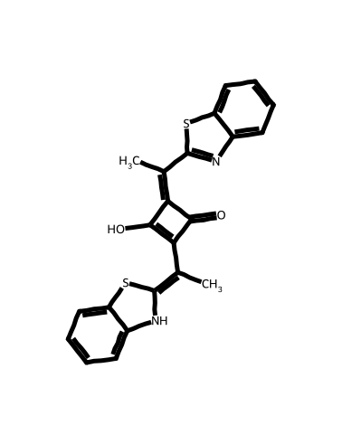 C/C(C1=C(O)/C(=C(\C)c2nc3ccccc3s2)C1=O)=C1\Nc2ccccc2S1